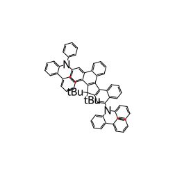 CC(C)(C)C1(C(C)(C)C)c2cc(N(c3ccccc3)c3ccccc3-c3ccccc3)c3ccccc3c2-c2c1c1ccc(N(c3ccccc3)c3ccccc3-c3ccccc3)cc1c1ccccc21